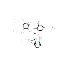 C=C[C@H](OC)[C@](C)(NC(=O)N(Cc1ccc(OC)cc1OC)Cc1ccc(OC)cc1OC)c1ccccc1F